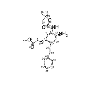 COC(=O)CSc1cc(NC(=O)OC(C)(C)C)c(N)cc1C#Cc1ccccc1